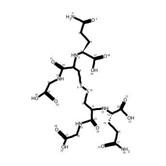 NC(=O)CC[C@H](NC(CSSCC(N[C@@H](CCC(N)=O)C(=O)O)C(=O)NCC(=O)O)C(=O)NCC(=O)O)C(=O)O